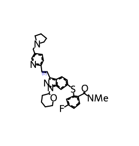 CNC(=O)c1ccc(F)cc1Sc1ccc2c(/C=C/c3ccc(CN4CCCC4)cn3)nn(C3CCCCO3)c2c1